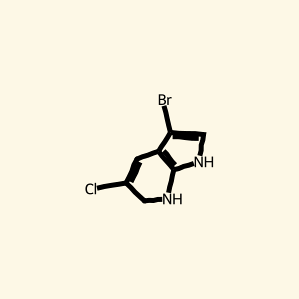 ClC1=Cc2c(Br)c[nH]c2NC1